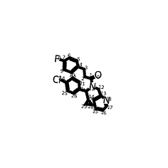 O=C(CCc1ccc(F)cc1)N(Cc1ccccn1)C(c1ccc(Cl)cc1)C1CC1